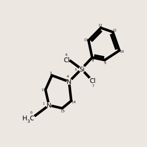 CN1CCN([Si](Cl)(Cl)c2ccccc2)CC1